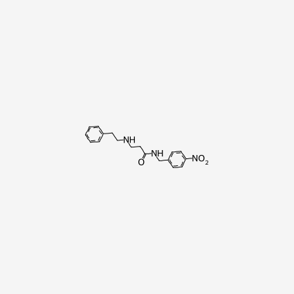 O=C(CCNCCc1ccccc1)NCc1ccc([N+](=O)[O-])cc1